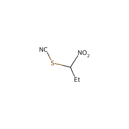 CCC(SC#N)[N+](=O)[O-]